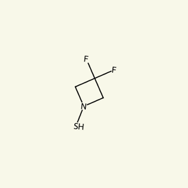 FC1(F)CN(S)C1